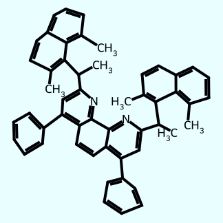 Cc1ccc2cccc(C)c2c1C(C)c1cc(-c2ccccc2)c2ccc3c(-c4ccccc4)cc(C(C)c4c(C)ccc5cccc(C)c45)nc3c2n1